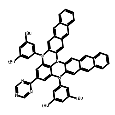 CC(C)(C)c1cc(N2c3cc4cc5ccccc5cc4cc3B3c4cc5cc6ccccc6cc5cc4N(c4cc(C(C)(C)C)cc(C(C)(C)C)c4)c4cc(-c5ncncn5)cc2c43)cc(C(C)(C)C)c1